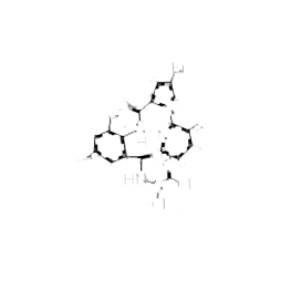 CC(=O)N(C)NC(=O)c1cc(Br)cc(Br)c1NC(=O)c1cc(Br)cn1-c1ncccc1Cl